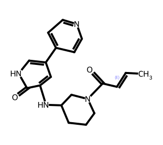 C/C=C/C(=O)N1CCCC(Nc2cc(-c3ccncc3)c[nH]c2=O)C1